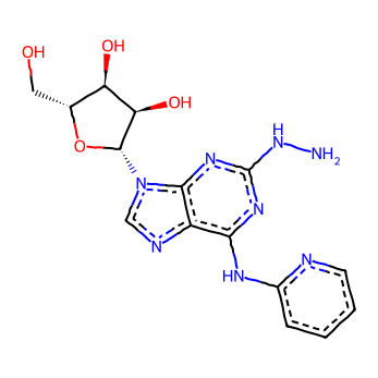 NNc1nc(Nc2ccccn2)c2ncn([C@@H]3O[C@H](CO)[C@@H](O)[C@H]3O)c2n1